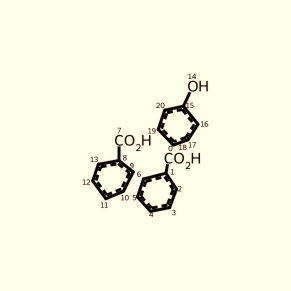 O=C(O)c1ccccc1.O=C(O)c1ccccc1.Oc1ccccc1